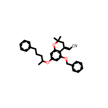 CC(CCCc1ccccc1)Oc1cc(OCc2ccccc2)c2c(c1)OC(C)(C)CC2=CC#N